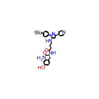 CC(C)(C)c1ccc(-n2nc(-c3ccncc3)cc2NCCCC(=O)N[C@@H](Cc2ccc(O)cc2)C(N)=O)cc1